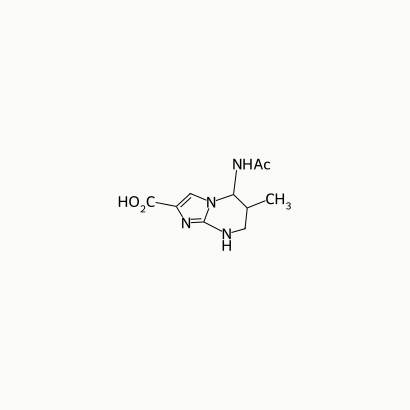 CC(=O)NC1C(C)CNc2nc(C(=O)O)cn21